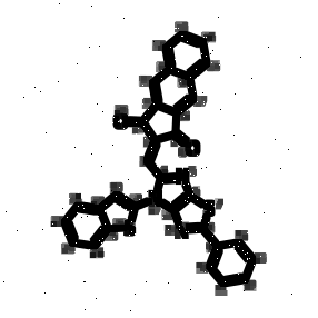 O=C1C(=Cc2nc3sc(-c4ccccc4)nc3n2-c2cc3ccccc3s2)C(=O)c2cc3ccccc3cc21